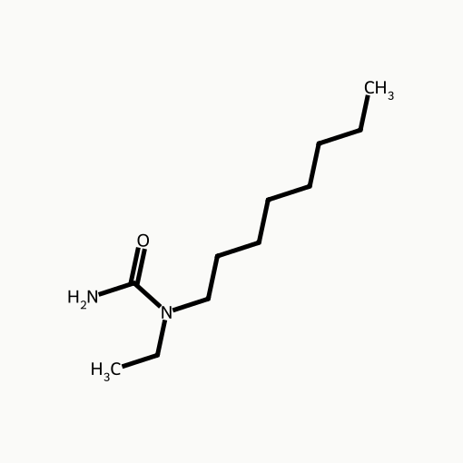 CCCCCCCCN(CC)C(N)=O